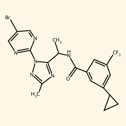 Cc1nc(C(C)NC(=O)c2cc(C3CC3)cc(C(F)(F)F)c2)n(-c2ncc(Br)cn2)n1